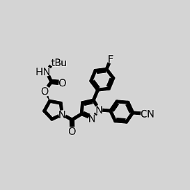 CC(C)(C)NC(=O)O[C@H]1CCN(C(=O)c2cc(-c3ccc(F)cc3)n(-c3ccc(C#N)cc3)n2)C1